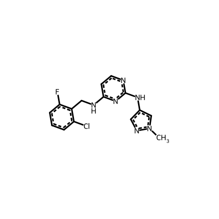 Cn1cc(Nc2nccc(NCc3c(F)cccc3Cl)n2)cn1